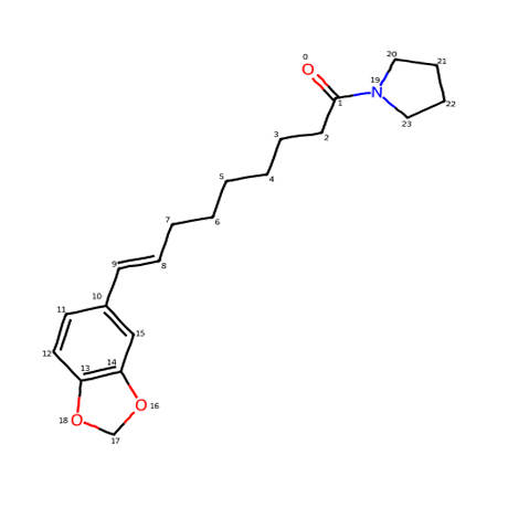 O=C(CCCCCCC=Cc1ccc2c(c1)OCO2)N1CCCC1